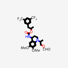 COc1cc2c(cc1OC)N(C(C)COC=O)CCC2NC(=O)OC(C)Cc1cc(C(F)(F)F)cc(C(F)(F)F)c1